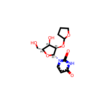 O=c1ccn([C@@H]2O[C@H](CO)[C@@H](O)[C@H]2OC2CCCO2)c(=O)[nH]1